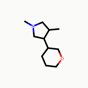 CC1CN(C)CC1C1CCCOC1